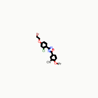 [C-]#[N+]c1cc(-c2nc(-c3ccc(OCCBr)cc3Cl)no2)ccc1OC(C)C